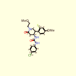 COCCN1CC(c2ccc(OC)cc2F)C(NC(=O)Nc2ccc(Cl)cc2)CC1=O